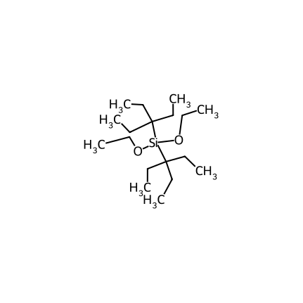 CCO[Si](OCC)(C(CC)(CC)CC)C(CC)(CC)CC